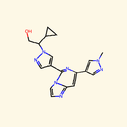 Cn1cc(-c2cc3nccn3c(-c3cnn(C(CO)C4CC4)c3)n2)cn1